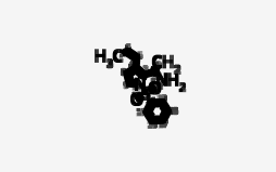 C=C(N)c1c(/C=C\C)ccn1S(=O)(=O)c1ccccc1